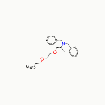 COCCOCCOCC(C)N(Cc1ccccc1)Cc1ccccc1